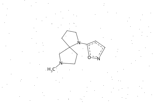 CN1CCC2(CCCN2c2ccno2)C1